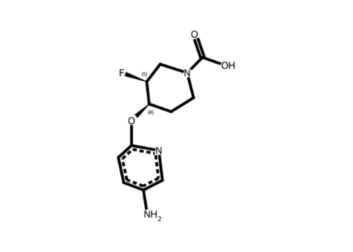 Nc1ccc(O[C@@H]2CCN(C(=O)O)C[C@@H]2F)nc1